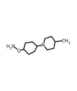 CC1CCN(C2CCC(ON)CC2)CC1